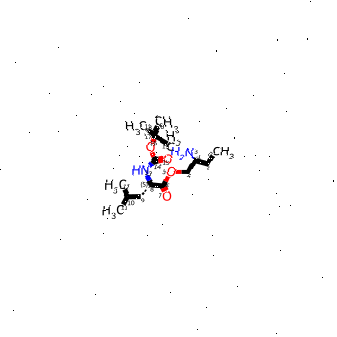 CC[C@@H](N)COC(=O)[C@H](CC(C)C)NC(=O)OC(C)(C)C